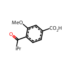 COc1cc(C(=O)O)ccc1C(=O)C(C)C